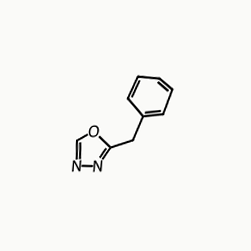 c1ccc(Cc2nnco2)cc1